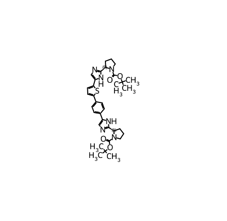 CC(C)(C)OC(=O)N1CCC[C@@H]1c1ncc(-c2ccc(-c3ccc(-c4cnc([C@H]5CCCN5C(=O)OC(C)(C)C)[nH]4)s3)cc2)[nH]1